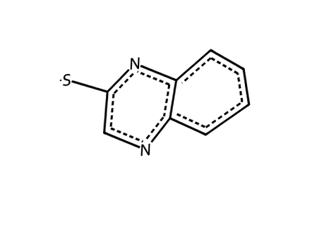 [S]c1cnc2ccccc2n1